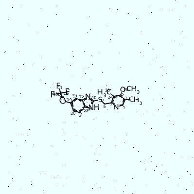 COc1c(C)cnc(CSc2nc3cc(OC(F)(F)F)ccc3[nH]2)c1C